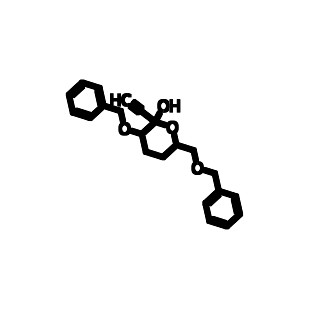 C#CC1(O)OC(COCc2ccccc2)CCC1OCc1ccccc1